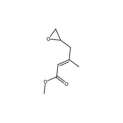 COC(=O)C=C(C)CC1CO1